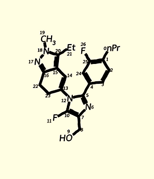 CCCc1ccc(-c2nc(CO)c(F)n2C2=Cc3c(nn(C)c3CC)CC2)cc1F